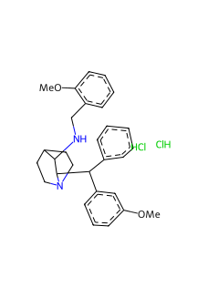 COc1cccc(C(c2ccccc2)C2C(NCc3ccccc3OC)C3CCN2CC3)c1.Cl.Cl